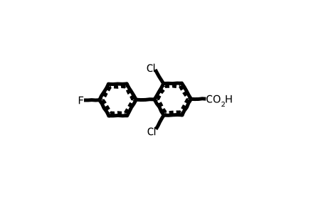 O=C(O)c1cc(Cl)c(-c2ccc(F)cc2)c(Cl)c1